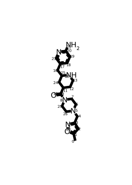 Cc1cc(CN2CCN(C(=O)C3CCNC(Cc4ccc(N)nc4)C3)CC2)no1